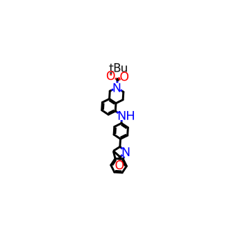 CC(C)(C)OC(=O)N1CCc2c(cccc2Nc2ccc(C3C4C(=O)N3c3ccccc34)cc2)C1